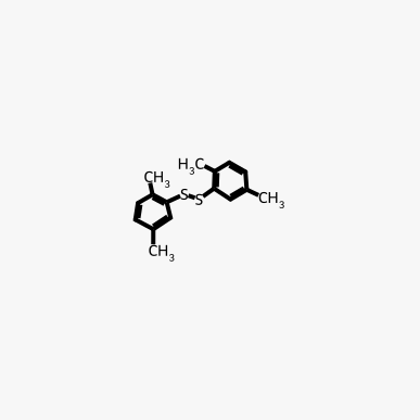 Cc1ccc(C)c(SSc2cc(C)ccc2C)c1